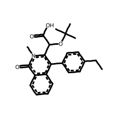 CCc1ccc(-c2c(C(OC(C)(C)C)C(=O)O)n(C)c(=O)c3ccccc23)cc1